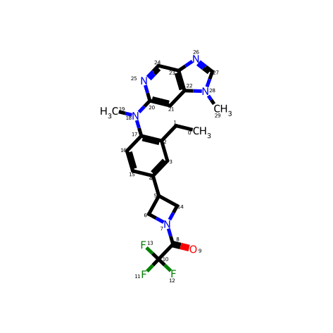 CCc1cc(C2CN(C(=O)C(F)(F)F)C2)ccc1N(C)c1cc2c(cn1)ncn2C